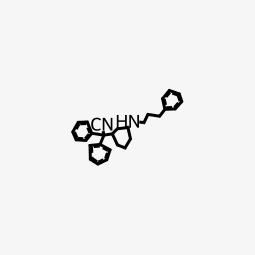 N#CC(c1ccccc1)(c1ccccc1)C1CCCC(NCCCc2ccccc2)C1